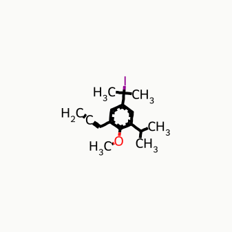 C=C=Cc1cc(C(C)(C)I)cc(C(C)C)c1OC